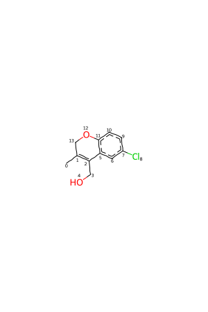 CC1=C(CO)c2cc(Cl)ccc2OC1